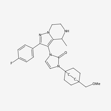 COCC12CCC(n3ccn(-c4c(-c5ccc(F)cc5)nn5c4C(C)NCC5)c3=O)(CC1)CC2